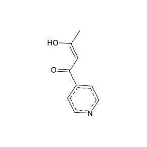 C/C(O)=C/C(=O)c1ccncc1